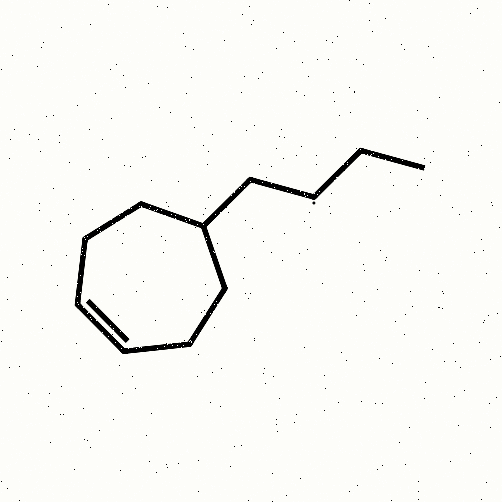 CC[CH]CC1CCC=CCC1